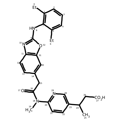 CCc1cccc(CC)c1Nc1nc2ccc(CC(=O)N(C)c3ccc(C(C)CC(=O)O)cn3)cc2o1